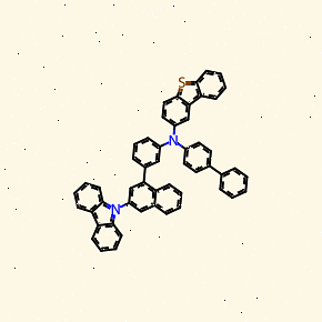 c1ccc(-c2ccc(N(c3cccc(-c4cc(-n5c6ccccc6c6ccccc65)cc5ccccc45)c3)c3ccc4sc5ccccc5c4c3)cc2)cc1